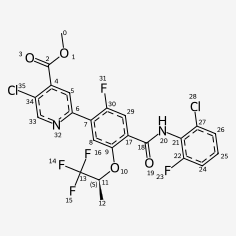 COC(=O)c1cc(-c2cc(O[C@@H](C)C(F)(F)F)c(C(=O)Nc3c(F)cccc3Cl)cc2F)ncc1Cl